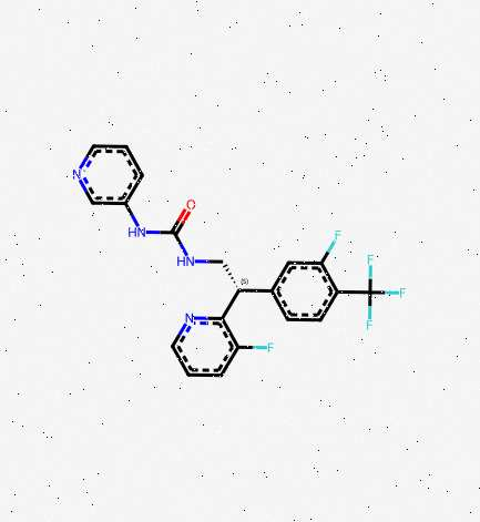 O=C(NC[C@H](c1ccc(C(F)(F)F)c(F)c1)c1ncccc1F)Nc1cccnc1